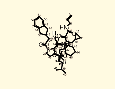 C=CCNC(=O)C(=O)C(CC1CC1)NC(=O)C1C(C(C)(C)C)CCN1C(=O)[C@@H](NC(=O)NC1(CS(=O)(=O)CCC(C)C)CCCCC1)C1Cc2ccccc2C1